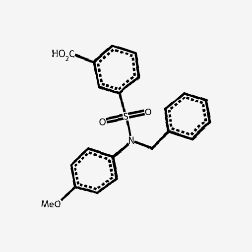 COc1ccc(N(Cc2ccccc2)S(=O)(=O)c2cccc(C(=O)O)c2)cc1